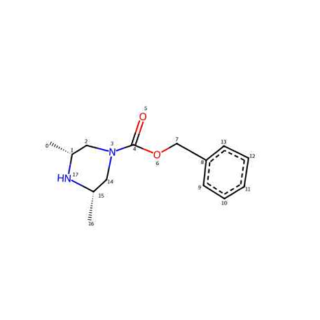 C[C@@H]1CN(C(=O)OCc2ccccc2)C[C@H](C)N1